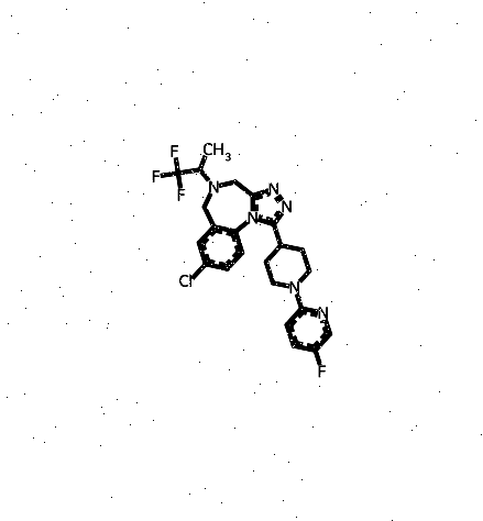 CC(N1Cc2cc(Cl)ccc2-n2c(nnc2C2CCN(c3ccc(F)cn3)CC2)C1)C(F)(F)F